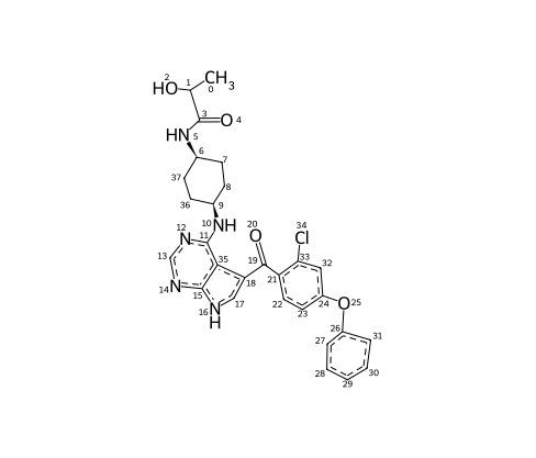 CC(O)C(=O)N[C@H]1CC[C@@H](Nc2ncnc3[nH]cc(C(=O)c4ccc(Oc5ccccc5)cc4Cl)c23)CC1